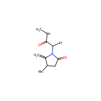 C=C1C(C(C)(C)C)CC(=O)N1C(CC)C(=O)BC